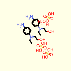 CCN(CCO)c1ccc(N)cc1.CCN(CCO)c1ccc(N)cc1.O.O=S(=O)(O)O.O=S(=O)(O)O.O=S(=O)(O)O